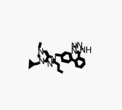 CCCC1N=C2C(=CN(CC)CN2CC2CC2)N1Cc1ccc(-c2ccccc2-c2nnn[nH]2)cc1